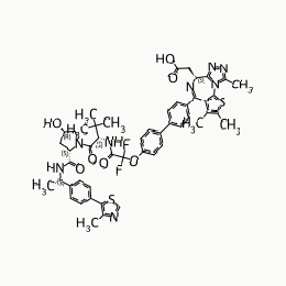 Cc1ncsc1-c1ccc([C@H](C)NC(=O)[C@@H]2C[C@@H](O)CN2C(=O)[C@@H](NC(=O)C(F)(F)Oc2ccc(-c3ccc(C4=N[C@@H](CC(=O)O)c5nnc(C)n5-c5sc(C)c(C)c54)cc3)cc2)C(C)(C)C)cc1